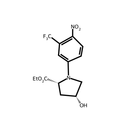 CCOC(=O)[C@H]1C[C@@H](O)CN1c1ccc([N+](=O)[O-])c(C(F)(F)F)c1